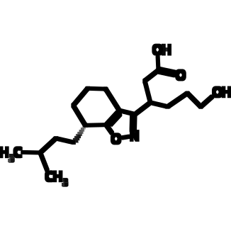 CC(C)CC[C@@H]1CCCc2c(C(CCCO)CC(=O)O)noc21